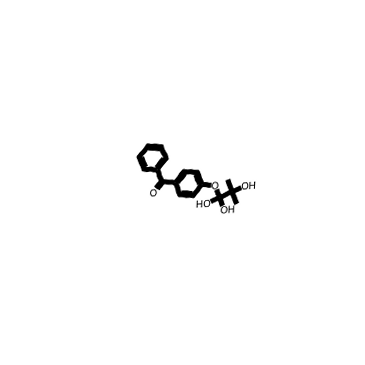 CC(C)(O)C(O)(O)Oc1ccc(C(=O)c2ccccc2)cc1